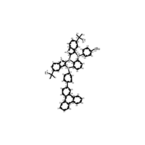 CCC(C)(C)c1ccc2sc3c(c2c1)N(c1ccc(-c2ccc4c5ccccc5c5ccccc5c4c2)cc1)c1cccc2c1B3c1sc3ccc(C(C)(C)CC)cc3c1N2c1ccc(C(C)(C)C)cc1